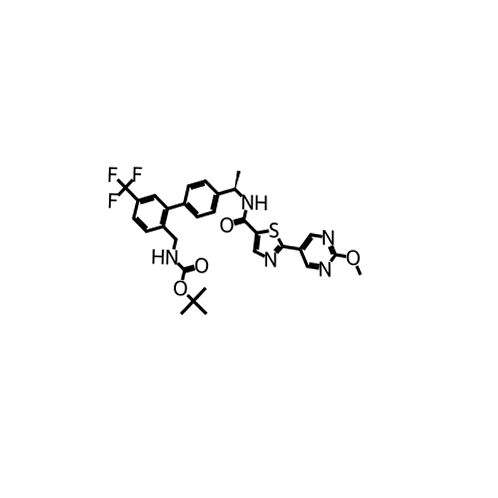 COc1ncc(-c2ncc(C(=O)N[C@H](C)c3ccc(-c4cc(C(F)(F)F)ccc4CNC(=O)OC(C)(C)C)cc3)s2)cn1